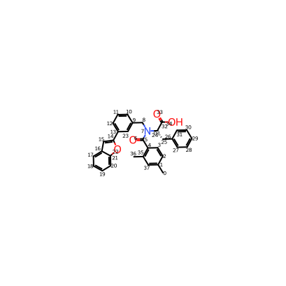 Cc1ccc(C(=O)N(Cc2cccc(-c3cc4ccccc4o3)c2)[C@@H](Cc2ccccc2)C(=O)O)c(C)c1